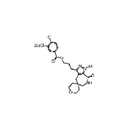 CCn1nc(CCCOC(=O)c2ccc(Cl)c(OC)c2)c2c1C(=O)NCC1(CCOCC1)C2